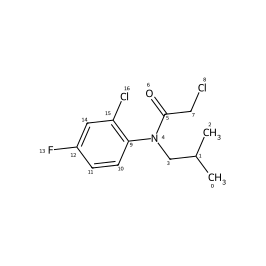 CC(C)CN(C(=O)CCl)c1ccc(F)cc1Cl